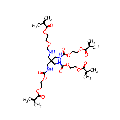 C=C(C)C(=O)OCCOCNCC(CNC(=O)OCCOC(=O)C(=C)C)(CNC(=O)OCCOC(=O)C(=C)C)CNC(=O)OCCOC(=O)C(=C)C